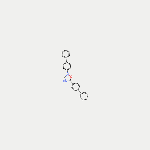 c1ccc(-c2ccc(C3NCN(c4ccc(-c5ccccc5)cc4)O3)cc2)cc1